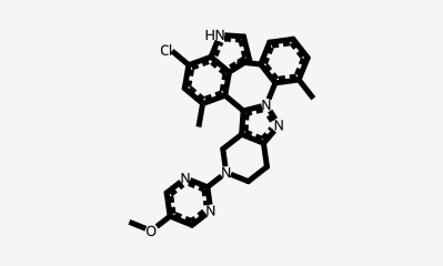 COc1cnc(N2CCc3nn(-c4c(C)cccc4C)c(-c4c(C)cc(Cl)c5[nH]ccc45)c3C2)nc1